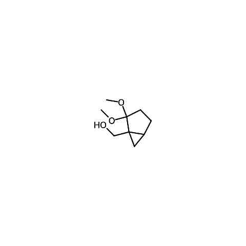 COC1(OC)CCC2CC21CO